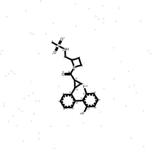 CS(=O)(=O)NCC1CCN1C(=O)C1CC1c1ccccc1-c1c(F)cccc1F